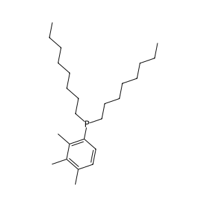 CCCCCCCCP(CCCCCCCC)c1ccc(C)c(C)c1C